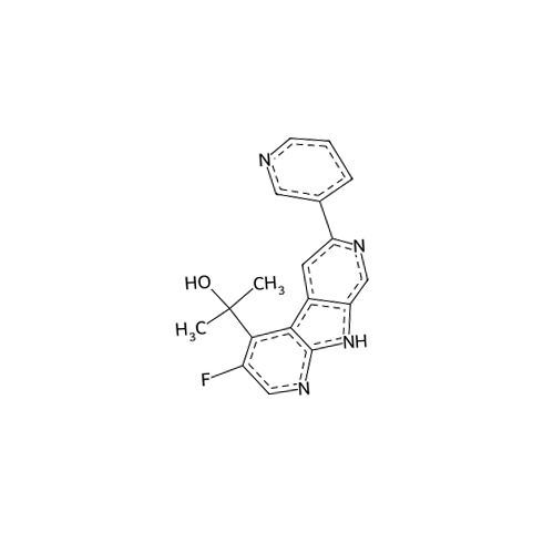 CC(C)(O)c1c(F)cnc2[nH]c3cnc(-c4cccnc4)cc3c12